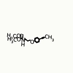 CC#Cc1ccc(OCCCNC(=O)OC(C)(C)C)cc1